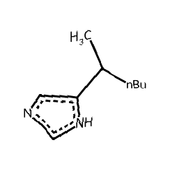 CCCCC(C)c1cnc[nH]1